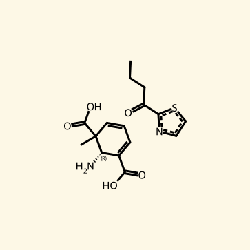 CC1(C(=O)O)C=CC=C(C(=O)O)[C@@H]1N.CCCC(=O)c1nccs1